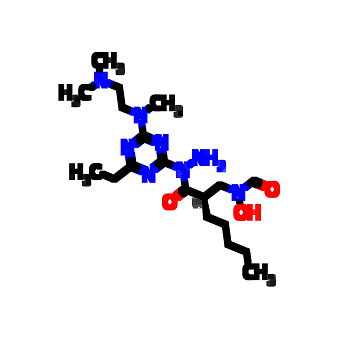 CCCCC[C@H](CN(O)C=O)C(=O)N(N)c1nc(CC)nc(N(C)CCN(C)C)n1